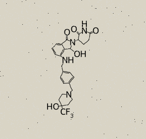 O=C1CCC(N2C(=O)c3cccc(NCc4ccc(CN5CCC(O)(C(F)(F)F)CC5)cc4)c3C2O)C(=O)N1